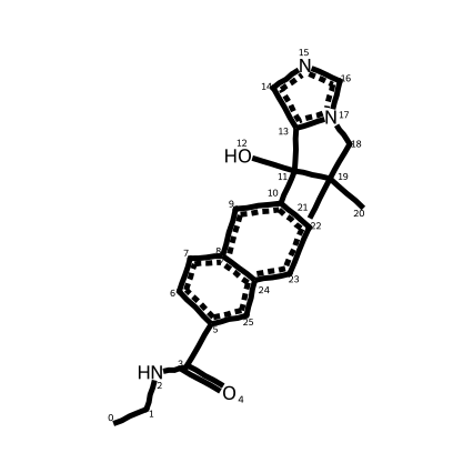 CCNC(=O)c1ccc2cc(C3(O)c4cncn4CC3(C)C)ccc2c1